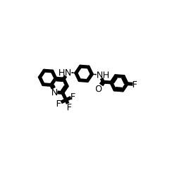 O=C(N[C@H]1CC[C@@H](Nc2cc(C(F)(F)F)nc3c2CCCC3)CC1)c1ccc(F)cc1